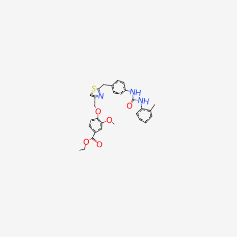 CCOC(=O)c1ccc(OCc2csc(Cc3ccc(NC(=O)Nc4ccccc4C)cc3)n2)c(OC)c1